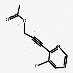 CC(=O)OCC#Cc1ncccc1F